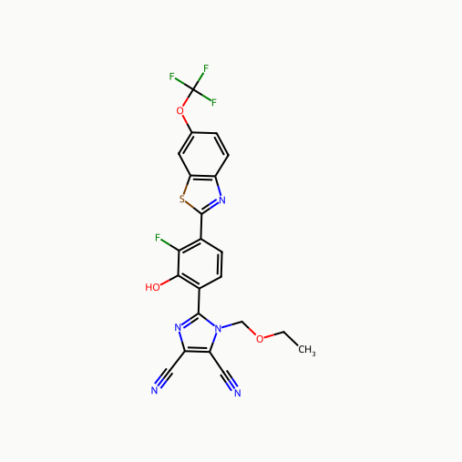 CCOCn1c(-c2ccc(-c3nc4ccc(OC(F)(F)F)cc4s3)c(F)c2O)nc(C#N)c1C#N